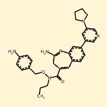 CCCN(OCc1ccc(N)cc1)C(=O)C1=Cc2ccc(-c3cncc(N4CCCC4)c3)cc2N=C(N)C1